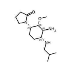 CO[C@@H]1[C@@H](N)[C@H](NCC(C)C)CC[C@@H]1N1CCCC1=O